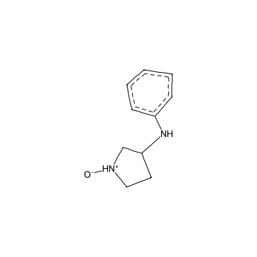 [O-][NH+]1CCC(Nc2ccccc2)C1